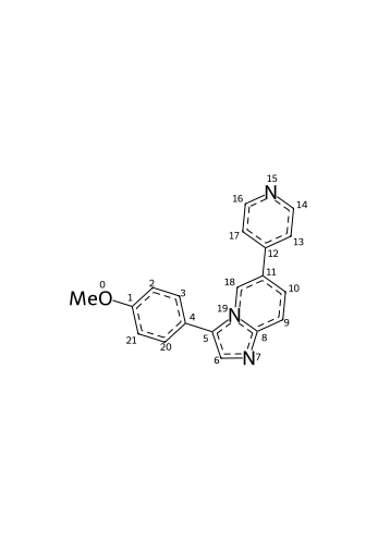 COc1ccc(-c2cnc3ccc(-c4ccncc4)cn23)cc1